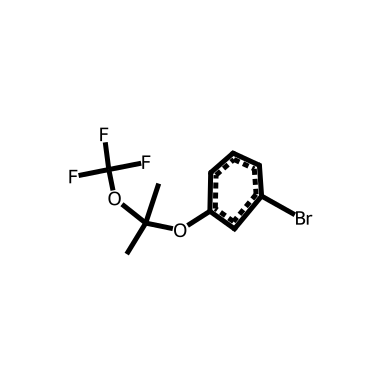 CC(C)(Oc1cccc(Br)c1)OC(F)(F)F